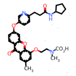 Cc1cc(OCCN(C)C(=O)O)c2oc3cc(Oc4ccc(CCC(=O)NC5CCCC5)nc4)ccc3c(=O)c2c1